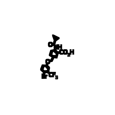 O=C(O)c1cc(COc2ccc(Br)c(C(F)(F)F)c2)ccc1NC(=O)C1CC1